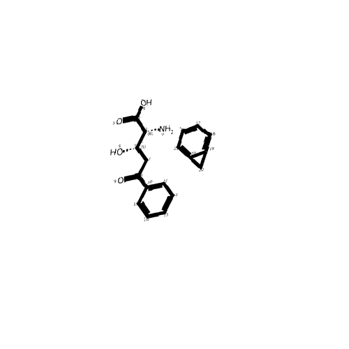 N[C@@H](C(=O)O)[C@@H](O)CC(=O)c1ccccc1.c1ccc2c(c1)C2